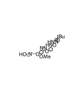 COc1cc2c(Oc3cccc(NC(=O)Nc4cc(C(C)(C)C)on4)c3)ncnc2cc1OCCCN1CCC(O)C1